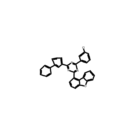 Clc1cccc(-c2nc(-c3cccc(-c4ccccc4)c3)nc(-c3cccc4oc5ccccc5c34)n2)c1